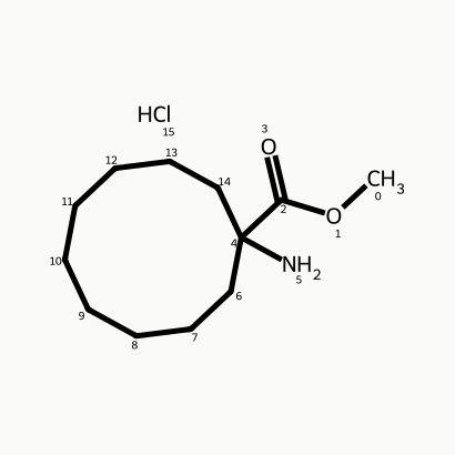 COC(=O)C1(N)CCCCCCCCC1.Cl